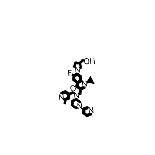 Cc1cc(CN(Cc2cn(C3CC3)c3cc(N4CCC(CO)C4)c(F)cc3c2=O)[C@H]2CCCN(c3cccnc3)C2)ccn1